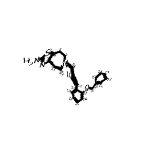 Nc1nc2c(s1)CCN(CC#Cc1ccccc1OCc1ccccc1)CC2